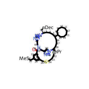 CCCCCCCCCCC[C@H]1CCCC(C2CCCCCCCC2)CCCC2(CCC)CCCCSCc3cc(CSC)cc(c3)C(=O)N(Cc3cn2nn3)Cc2nnn1n2